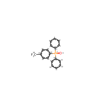 O=P(c1ccccc1)(c1ccccc1)c1ccc(C(F)(F)F)cc1